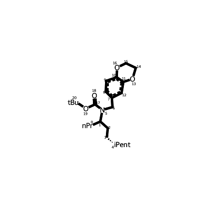 CCCC(CC[C@@H](C)CCC)N(Cc1ccc2c(c1)OCCO2)C(=O)OC(C)(C)C